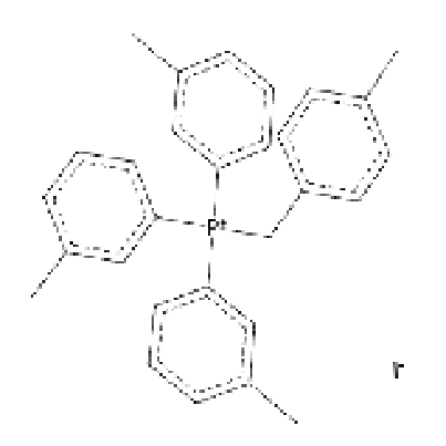 Cc1ccc(C[P+](c2cccc(C)c2)(c2cccc(C)c2)c2cccc(C)c2)cc1.[I-]